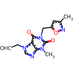 Cc1cc(Cn2c(=O)c3c(ncn3CC=O)n(C)c2=O)on1